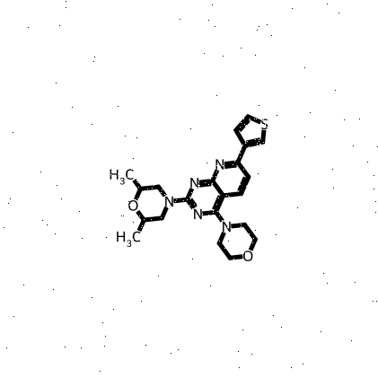 CC1CN(c2nc(N3CCOCC3)c3ccc(-c4ccsc4)nc3n2)CC(C)O1